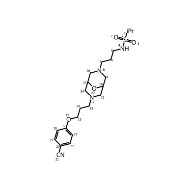 CC(C)S(=O)(=O)NCCCN1CC2CN(CCCOc3ccc(C#N)cc3)CC(C1)O2